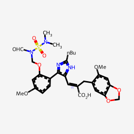 CCCCc1nc(-c2ccc(OC)cc2OCN(C=O)S(=O)(=O)N(C)C)c(/C=C(\Cc2cc3c(cc2OC)OCO3)C(=O)O)[nH]1